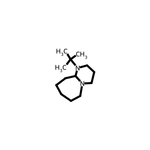 CC(C)(C)N1CCCN2CCCCCC21